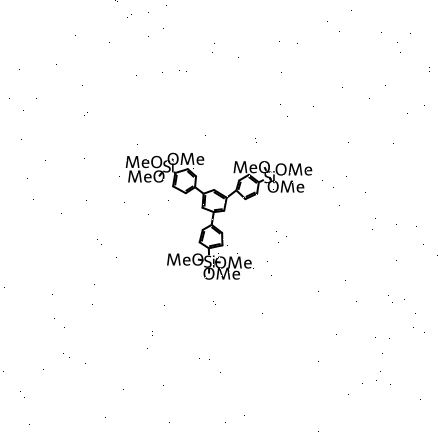 CO[Si](OC)(OC)c1ccc(-c2cc(-c3ccc([Si](OC)(OC)OC)cc3)cc(-c3ccc([Si](OC)(OC)OC)cc3)c2)cc1